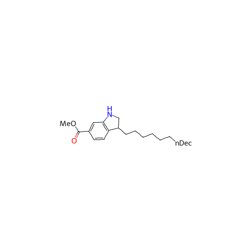 CCCCCCCCCCCCCCCCC1CNc2cc(C(=O)OC)ccc21